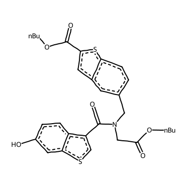 CCCCOC(=O)CN(Cc1ccc2sc(C(=O)OCCCC)cc2c1)C(=O)c1csc2cc(O)ccc12